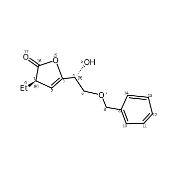 CC[C@@H]1C=C([C@H](O)COCc2ccccc2)OC1=O